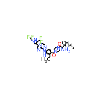 CCc1cc(Nc2nccn3c(-c4cn(CC(F)F)nc4C(F)F)cnc23)ccc1C(=O)N1CCN(C(=O)C(N)C(C)C)CC1